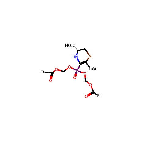 CCCCC1=C(P(=O)(OCOC(=O)CC)OCOC(=O)CC)N[C@H](C(=O)O)CS1